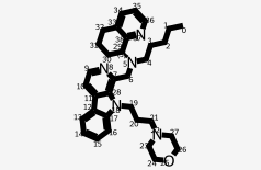 CCCCCN(Cc1nccc2c3ccccc3n(CCCN3CCOCC3)c12)[C@H]1CCCc2cccnc21